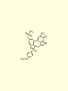 COc1ccc(S(=O)(=O)N2Cc3c[nH]c4c(=O)n(C)cc(c34)-c3cc(CS(C)(=O)=O)ccc32)cc1